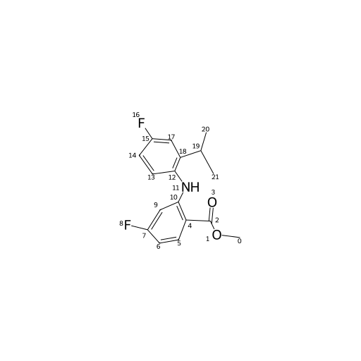 COC(=O)c1ccc(F)cc1Nc1ccc(F)cc1C(C)C